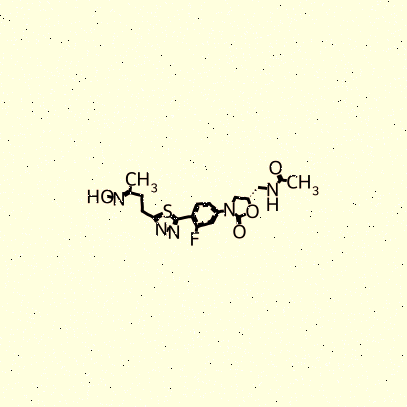 CC(=O)NC[C@H]1CN(c2ccc(-c3nnc(CCC(C)=NO)s3)c(F)c2)C(=O)O1